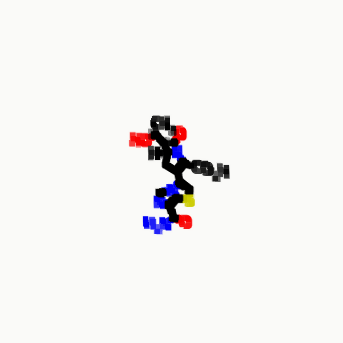 C[C@@H](O)[C@H]1C(=O)N2C(C(=O)O)=C(c3csc4c(C(N)=O)ncn34)C[C@H]12